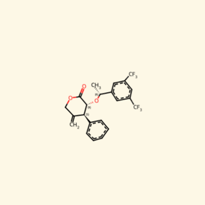 C=C1COC(=O)[C@H](O[C@H](C)c2cc(C(F)(F)F)cc(C(F)(F)F)c2)[C@H]1c1ccccc1